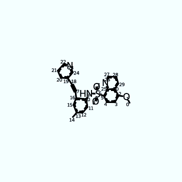 COc1ccc(S(=O)(=O)Nc2ccc(C)cc2C#Cc2cccnc2)c2ncccc12